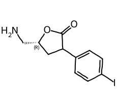 NC[C@H]1CC(c2ccc(I)cc2)C(=O)O1